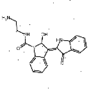 NCCNC(=O)N1c2ccccc2/C(=C2/Nc3ccccc3C2=O)C1O